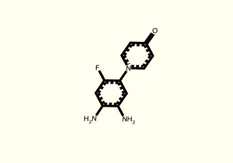 Nc1cc(F)c(-n2ccc(=O)cc2)cc1N